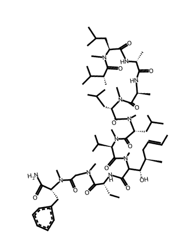 C/C=C/C[C@@H](C)[C@H](O)C(C(=O)N[C@H](CC)C(=O)N(C)CC(=O)N(C)[C@H](Cc1ccccc1)C(N)=O)N(C)C(=O)[C@@H](C(C)C)N(C)C(=O)[C@@H](CC(C)C)N(C)C(=O)[C@H](CC(C)C)N(C)C(=O)[C@H](C)NC(=O)[C@@H](C)NC(=O)[C@H](CC(C)C)N(C)C(=O)[C@H](C)C(C)C